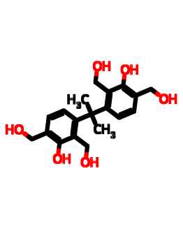 CC(C)(c1ccc(CO)c(O)c1CO)c1ccc(CO)c(O)c1CO